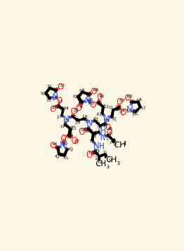 C#CC(=O)NCC(CNC(=O)C(C)C=C)C(=O)N(CCC(=O)N(CCC(=O)ON1CCCC1=O)CCC(=O)ON1CCCC1=O)CCC(=O)N(CCC(=O)ON1CCCC1=O)CCC(=O)ON1C(=O)CCC1=O